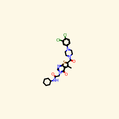 Cc1c(C(=O)N2CCN(c3ccc(Cl)c(Cl)c3)CC2)sc2ncn(CC(=O)NC3CCCCC3)c(=O)c12